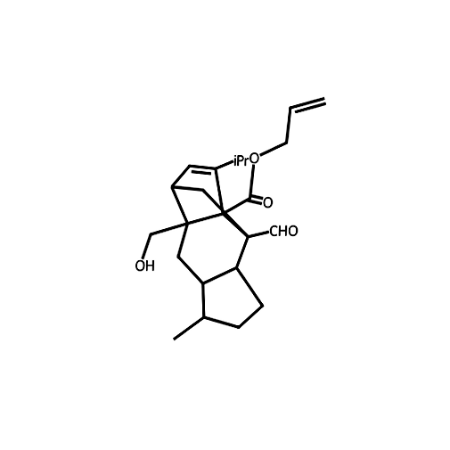 C=CCOC(=O)C12C(C(C)C)=CC3CC1(C=O)C1CCC(C)C1CC32CO